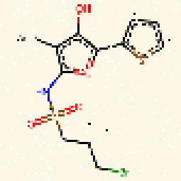 CC(=O)Oc1c(NS(=O)(=O)CCCBr)oc(-c2cccs2)c1O